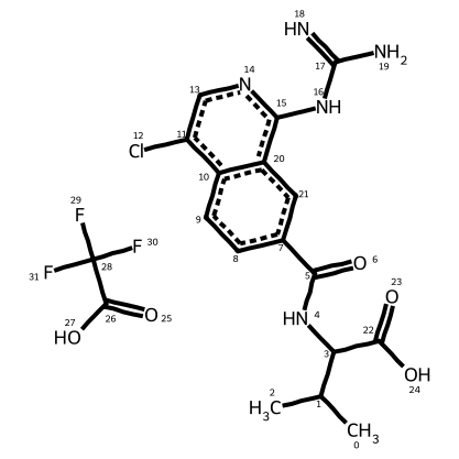 CC(C)C(NC(=O)c1ccc2c(Cl)cnc(NC(=N)N)c2c1)C(=O)O.O=C(O)C(F)(F)F